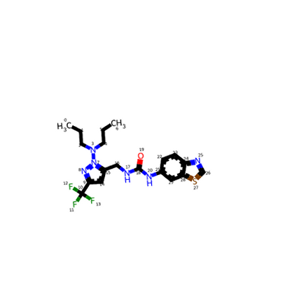 CCCN(CCC)n1nc(C(F)(F)F)cc1CNC(=O)Nc1ccc2ncsc2c1